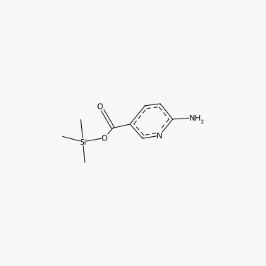 C[Si](C)(C)OC(=O)c1ccc(N)nc1